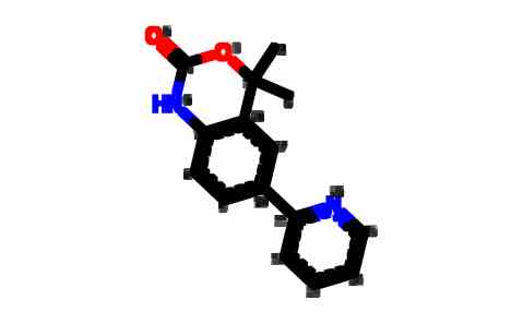 CC1(C)OC(=O)Nc2ccc(-c3ccc[c]n3)cc21